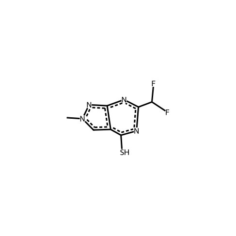 Cn1cc2c(S)nc(C(F)F)nc2n1